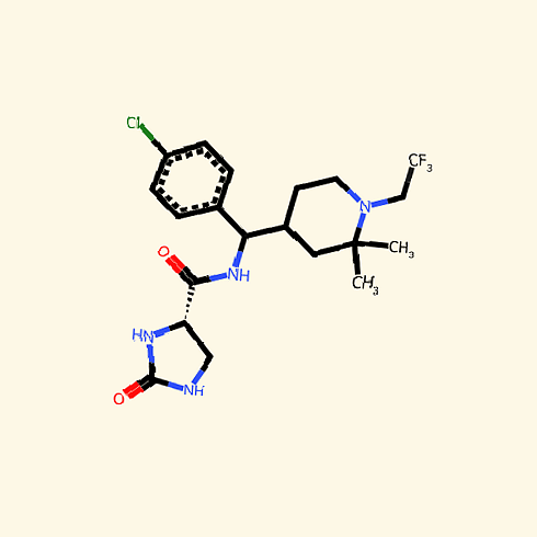 CC1(C)CC(C(NC(=O)[C@@H]2CNC(=O)N2)c2ccc(Cl)cc2)CCN1CC(F)(F)F